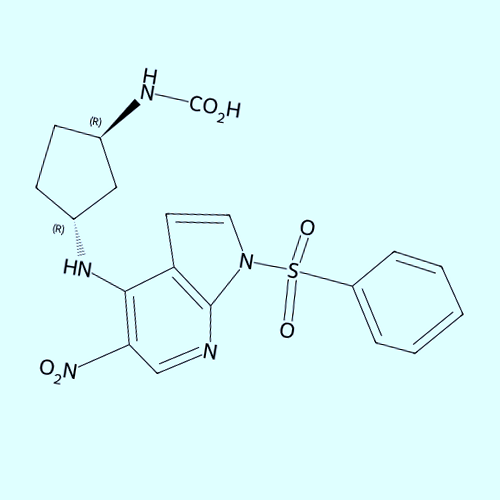 O=C(O)N[C@@H]1CC[C@@H](Nc2c([N+](=O)[O-])cnc3c2ccn3S(=O)(=O)c2ccccc2)C1